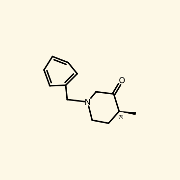 C[C@H]1CCN(Cc2ccccc2)CC1=O